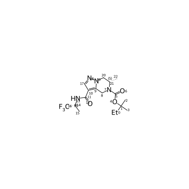 CCC(C)(C)OC(=O)N1Cc2c(C(=O)N[C@H](C)C(F)(F)F)cnn2C[C@@H]1C